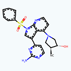 [C-]#[N+][C@H]1CN(c2ccnc3c2c(-c2ccnc(N)n2)cn3S(=O)(=O)c2ccccc2)C[C@@H]1O